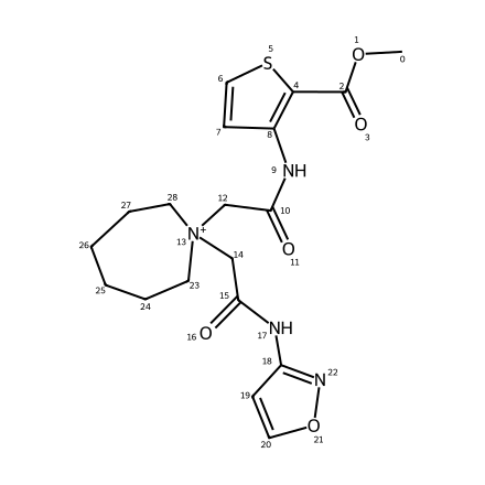 COC(=O)c1sccc1NC(=O)C[N+]1(CC(=O)Nc2ccon2)CCCCCC1